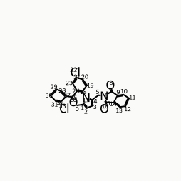 Cc1ccc(CN2C(=O)c3ccccc3C2=O)n1-c1ccc(Cl)cc1C(=O)c1ccccc1Cl